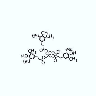 CCOC(=O)C(COC(=O)CCc1cc(C)c(O)c(C(C)(C)C)c1)(COC(=O)CCc1cc(C)c(O)c(C(C)(C)C)c1)COC(=O)CCc1cc(C)c(O)c(C(C)(C)C)c1